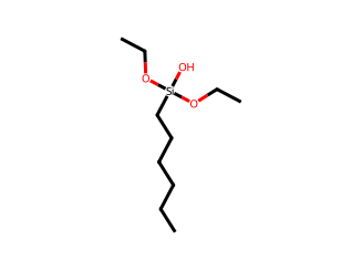 CCCCCC[Si](O)(OCC)OCC